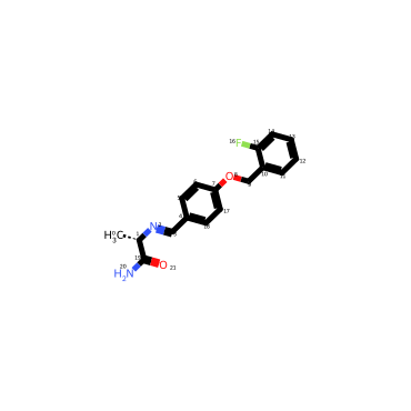 C[C@H](/N=C/c1ccc(OCc2ccccc2F)cc1)C(N)=O